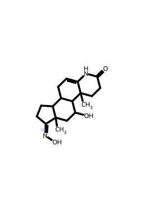 CC12CCC(=O)NC1=CCC1C2C(O)CC2(C)/C(=N\O)CCC12